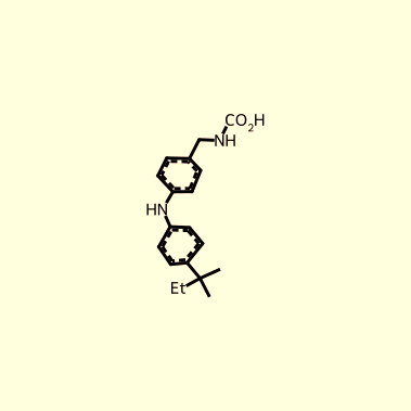 CCC(C)(C)c1ccc(Nc2ccc(CNC(=O)O)cc2)cc1